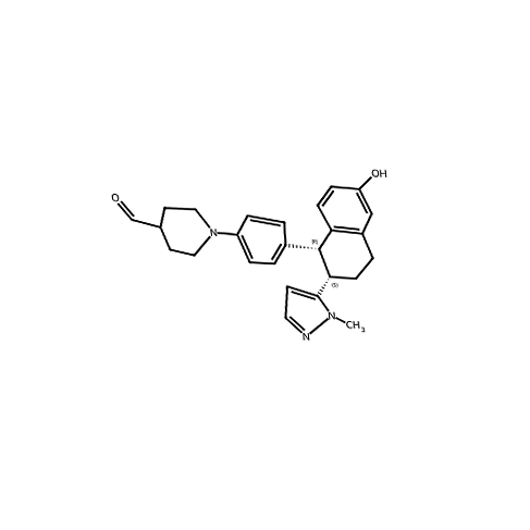 Cn1nccc1[C@H]1CCc2cc(O)ccc2[C@H]1c1ccc(N2CCC(C=O)CC2)cc1